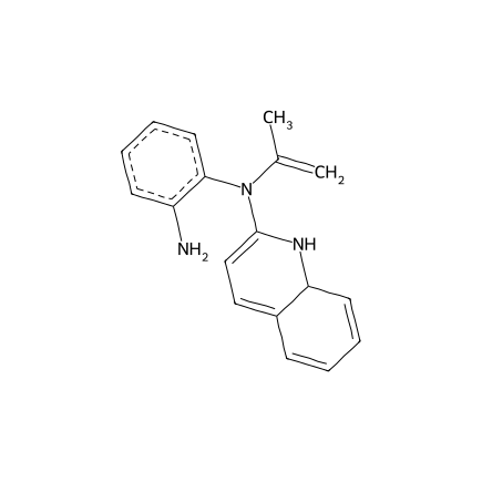 C=C(C)N(C1=CC=C2C=CC=CC2N1)c1ccccc1N